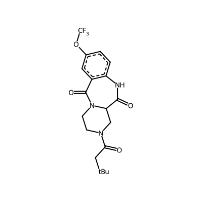 CC(C)(C)CC(=O)N1CCN2C(=O)c3cc(OC(F)(F)F)ccc3NC(=O)C2C1